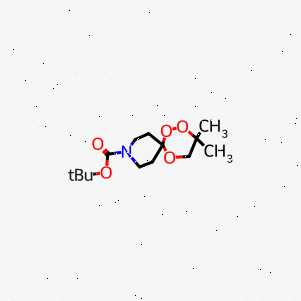 CC(C)(C)OC(=O)N1CCC2(CC1)OCC(C)(C)OO2